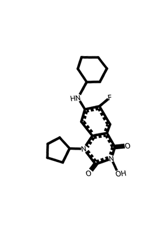 O=c1c2cc(F)c(NC3CCCCC3)cc2n(C2CCCC2)c(=O)n1O